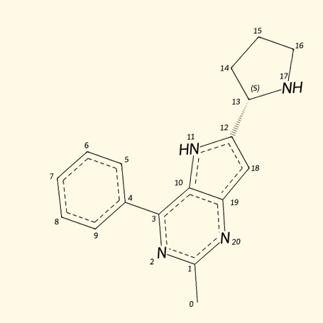 Cc1nc(-c2ccccc2)c2[nH]c([C@@H]3CCCN3)cc2n1